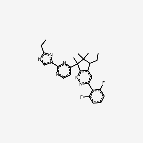 CCc1ncn(-c2nccc(C3(C)c4nnc(-c5c(F)cccc5F)cc4C(CC)C3(C)C)n2)n1